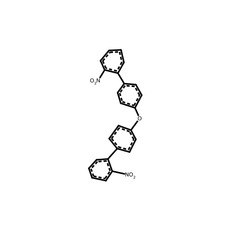 O=[N+]([O-])c1ccccc1-c1ccc(Oc2ccc(-c3ccccc3[N+](=O)[O-])cc2)cc1